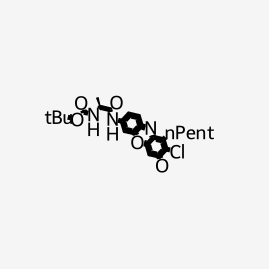 CCCCCc1c2nc3ccc(NC(=O)[C@H](C)NC(=O)OC(C)(C)C)cc3oc-2cc(=O)c1Cl